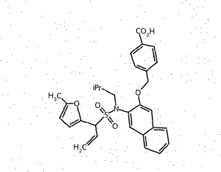 C=CC(c1ccc(C)o1)S(=O)(=O)N(CC(C)C)c1cc2ccccc2cc1OCc1ccc(C(=O)O)cc1